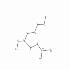 [CH2]C[C](CCCCC)CCC(C)C